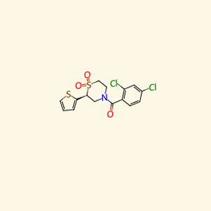 O=C(c1ccc(Cl)cc1Cl)N1CCS(=O)(=O)[C@H](c2cccs2)C1